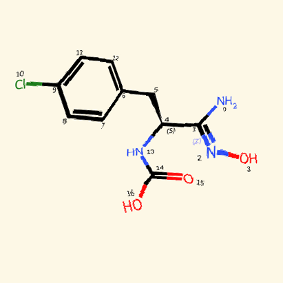 N/C(=N\O)[C@H](Cc1ccc(Cl)cc1)NC(=O)O